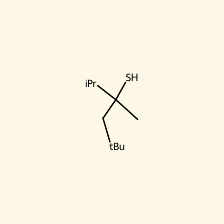 CC(C)C(C)(S)CC(C)(C)C